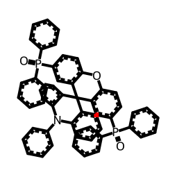 O=P(c1ccccc1)(c1ccccc1)c1ccc2c(c1)C1(c3cc(P(=O)(c4ccccc4)c4ccccc4)ccc3O2)c2ccccc2N(c2ccccc2)c2ccccc21